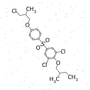 CCC(C)COc1c(Cl)cc(S(=O)(=O)c2ccc(OCC(C)CCl)cc2)cc1Cl